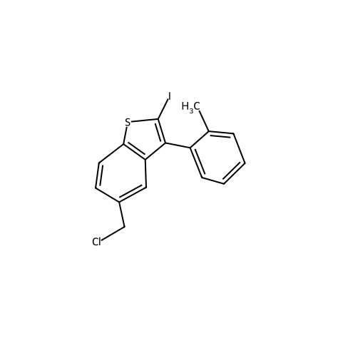 Cc1ccccc1-c1c(I)sc2ccc(CCl)cc12